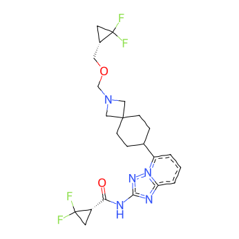 O=C(Nc1nc2cccc(C3CCC4(CC3)CN(COC[C@@H]3CC3(F)F)C4)n2n1)[C@@H]1CC1(F)F